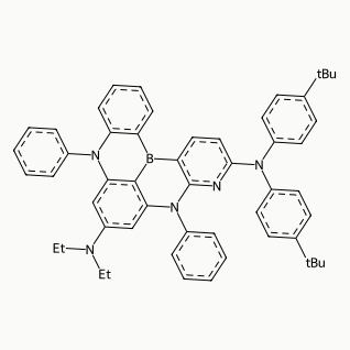 CCN(CC)c1cc2c3c(c1)N(c1ccccc1)c1nc(N(c4ccc(C(C)(C)C)cc4)c4ccc(C(C)(C)C)cc4)ccc1B3c1ccccc1N2c1ccccc1